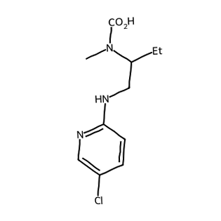 CCC(CNc1ccc(Cl)cn1)N(C)C(=O)O